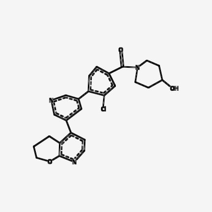 O=C(c1ccc(-c2cncc(-c3ccnc4c3CCCO4)c2)c(Cl)c1)N1CCC(O)CC1